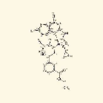 CCOC(=O)c1cccc([C@H](O)C[C@H]2[C@@H]([N+](=O)[O-])[C@H](c3cccc(Cl)c3)[C@]3(C(=O)Nc4cc(Cl)ccc43)N2CC2CC2)c1